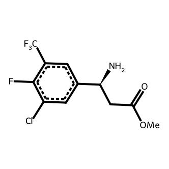 COC(=O)C[C@H](N)c1cc(Cl)c(F)c(C(F)(F)F)c1